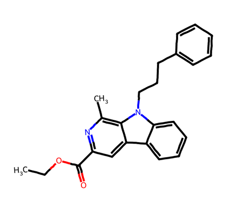 CCOC(=O)c1cc2c3ccccc3n(CCCc3ccccc3)c2c(C)n1